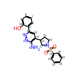 Nc1nnc(-c2ccccc2O)cc1C1CCN(S(=O)(=O)c2ccccc2)C1